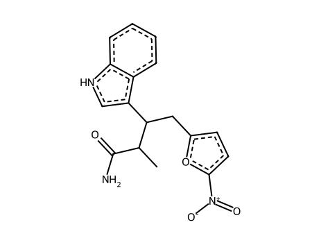 CC(C(N)=O)C(Cc1ccc([N+](=O)[O-])o1)c1c[nH]c2ccccc12